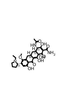 CCN1CCC[C@H]1c1cc(O)c2c(c1OC)C[C@H]1C[C@H]3[C@H](NC(C)=O)C(O)=C(C(N)=O)C(=O)[C@@]3(O)C(O)=C1C2=O